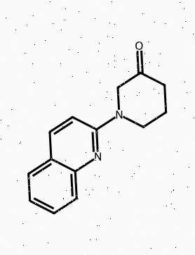 O=C1CCCN(c2ccc3ccccc3n2)C1